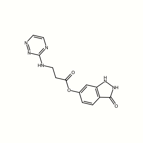 O=C(CCNc1nccnn1)Oc1ccc2c(=O)[nH][nH]c2c1